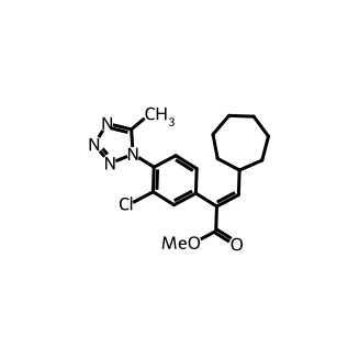 COC(=O)C(=CC1CCCCCC1)c1ccc(-n2nnnc2C)c(Cl)c1